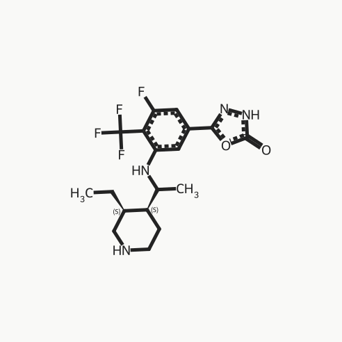 CC[C@@H]1CNCC[C@@H]1C(C)Nc1cc(-c2n[nH]c(=O)o2)cc(F)c1C(F)(F)F